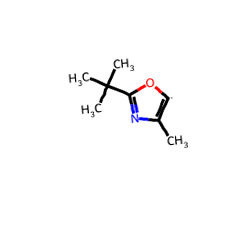 Cc1[c]oc(C(C)(C)C)n1